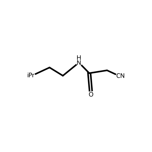 CC(C)CCNC(=O)CC#N